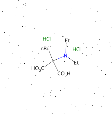 CCCCC(C(=O)O)(C(=O)O)N(CC)CC.Cl.Cl